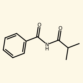 CC(C)C(=O)NC(=O)c1ccccc1